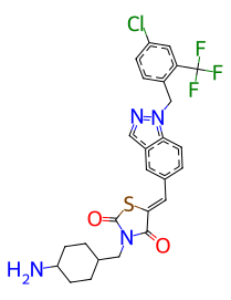 NC1CCC(CN2C(=O)SC(=Cc3ccc4c(cnn4Cc4ccc(Cl)cc4C(F)(F)F)c3)C2=O)CC1